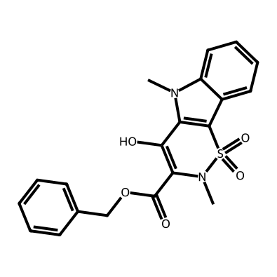 CN1C(C(=O)OCc2ccccc2)=C(O)c2c(c3ccccc3n2C)S1(=O)=O